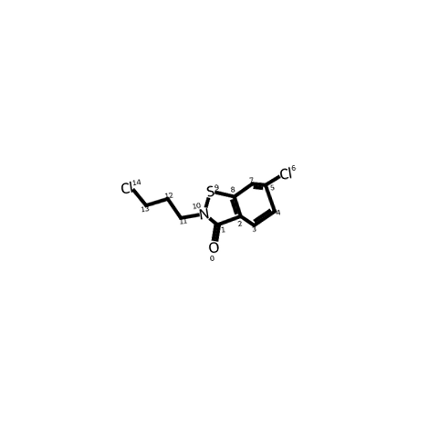 O=c1c2ccc(Cl)cc2sn1CCCCl